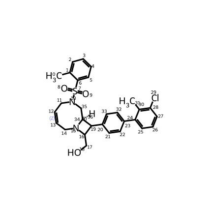 Cc1ccccc1S(=O)(=O)N1C/C=C\CN2C(CO)C(c3ccc(-c4cccc(Cl)c4C)cc3)[C@@H]2C1